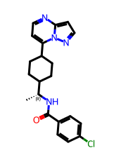 C[C@@H](NC(=O)c1ccc(Cl)cc1)C1CCC(c2ccnc3ccnn23)CC1